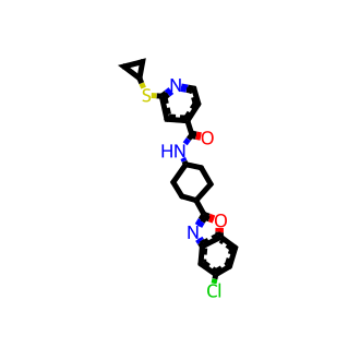 O=C(NC1CCC(c2nc3cc(Cl)ccc3o2)CC1)c1ccnc(SC2CC2)c1